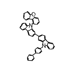 c1ccc(-c2ccc(-n3c4ccccc4c4ccc(-c5ccc6c7ccccc7n(-c7cccc8oc9ccccc9c78)c6c5)cc43)cc2)cc1